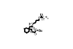 CCC(C)(CC)SCCCNC(=O)CC1(CNC(=O)OC(C)(C)C)CCCCC1